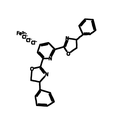 [Cl-].[Cl-].[Cl-].[Fe+3].c1ccc(C2COC(c3cccc(C4=NC(c5ccccc5)CO4)n3)=N2)cc1